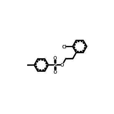 Cc1ccc(S(=O)(=O)OCCc2ccccc2Cl)cc1